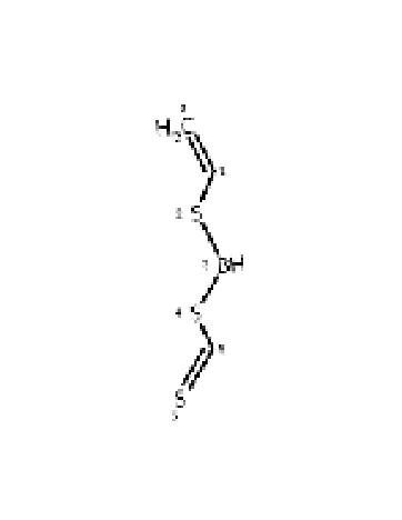 C=CSBSC=S